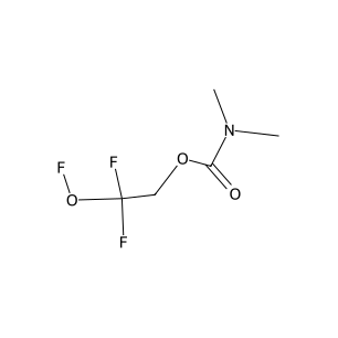 CN(C)C(=O)OCC(F)(F)OF